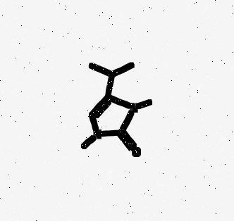 CC(C)c1cn(C)c(=O)n1C